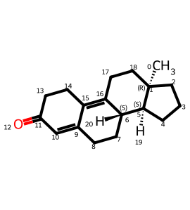 C[C@]12CCC[C@H]1[C@@H]1CCC3=CC(=O)CCC3=C1CC2